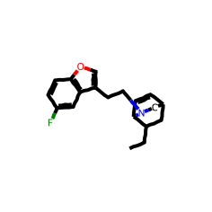 CCC1CC2C=CC1N(CCc1coc3ccc(F)cc13)C2